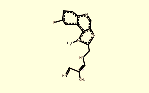 C/C(C=N)=C/NCc1nc2cnc3ccc(F)cc3c2n1C